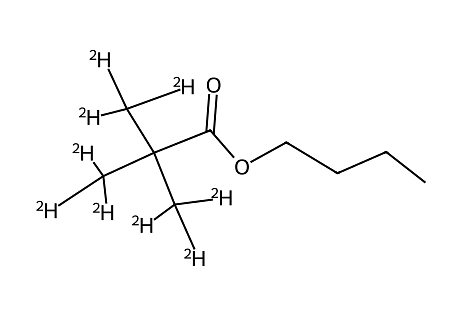 [2H]C([2H])([2H])C(C(=O)OCCCC)(C([2H])([2H])[2H])C([2H])([2H])[2H]